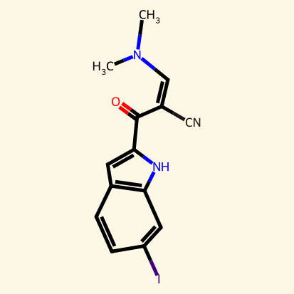 CN(C)/C=C(/C#N)C(=O)c1cc2ccc(I)cc2[nH]1